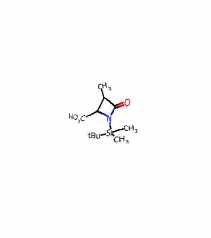 CC1C(=O)N([Si](C)(C)C(C)(C)C)C1C(=O)O